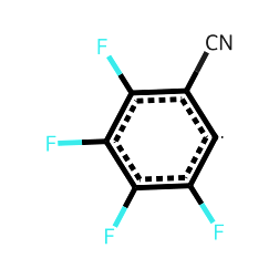 N#Cc1[c]c(F)c(F)c(F)c1F